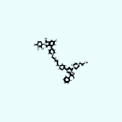 Cc1nn2c(N3CCN(CCO)CC3)cc(C3CCN(CCCCCN4CCC(c5cc(F)cc6c5CN(C5CCC(=O)NC5=O)C6=O)CC4)CC3)nc2c1-c1ccccc1